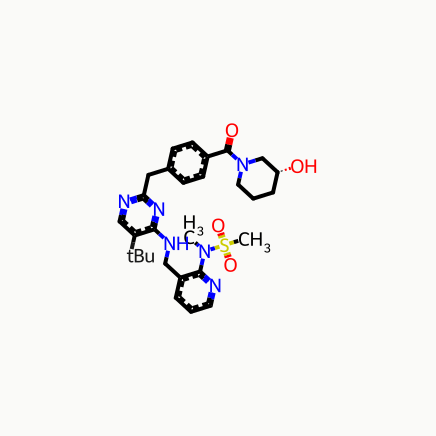 CN(c1ncccc1CNc1nc(Cc2ccc(C(=O)N3CCC[C@@H](O)C3)cc2)ncc1C(C)(C)C)S(C)(=O)=O